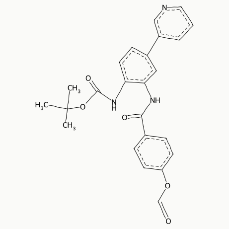 CC(C)(C)OC(=O)Nc1ccc(-c2cccnc2)cc1NC(=O)c1ccc(OC=O)cc1